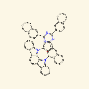 c1ccc(-n2c3ccccc3c3ccc4c5ccccc5n(-c5cc(-c6nc(-c7ccc8ccccc8c7)nc(-c7ccc8ccccc8c7)n6)cc6ccccc56)c4c32)cc1